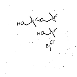 C[N+](C)(C)CO.C[N+](C)(C)CO.C[N+](C)(C)CO.[Br-].[Cl-].[I-]